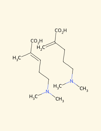 C=C(CCCN(C)C)C(=O)O.CC(=CCCN(C)C)C(=O)O